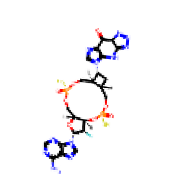 Nc1ncnc2c1ncn2[C@@H]1O[C@@H]2CO[P@](=O)(S)OC[C@@H]3[C@@H](CO[P@@](=O)(S)O[C@H]2[C@H]1F)C[C@H]3n1cnc2c1NC1=NN=NC1C2=O